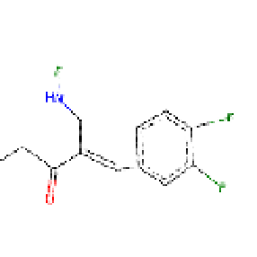 CCC(=O)/C(=C/c1ccc(F)c(F)c1)CNF